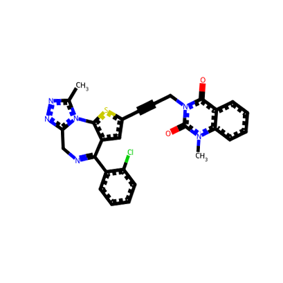 Cc1nnc2n1-c1sc(C#CCn3c(=O)c4ccccc4n(C)c3=O)cc1C(c1ccccc1Cl)=NC2